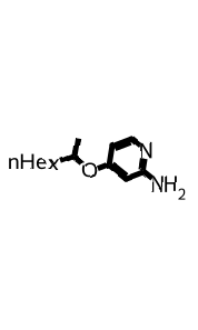 CCCCCCC(C)Oc1ccnc(N)c1